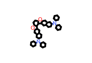 c1ccc(N(c2ccccc2)c2ccc3cc4c(cc3c2)oc2ccc3oc5cc6cc(N(c7ccccc7)c7ccccc7)ccc6cc5c3c24)cc1